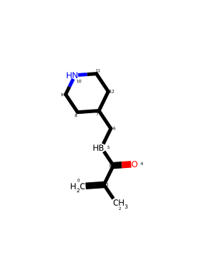 C=C(C)C(=O)BCC1CCNCC1